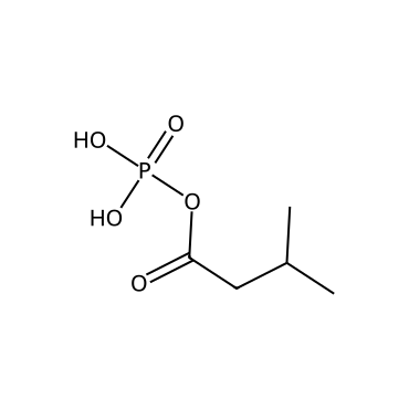 CC(C)CC(=O)OP(=O)(O)O